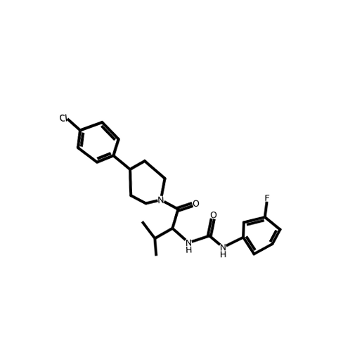 CC(C)C(NC(=O)Nc1cccc(F)c1)C(=O)N1CCC(c2ccc(Cl)cc2)CC1